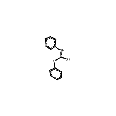 OC(Nc1cccnc1)Oc1ccccc1